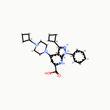 O=C(O)c1cc(N2CCN(C3CCC3)CC2)c2c(C3CCC3)nn(-c3ccccc3)c2n1